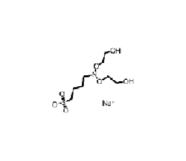 O=S(=O)([O-])CCCCN(OCCO)OCCO.[Na+]